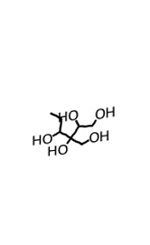 CCC(O)C(O)(CO)C(O)CO